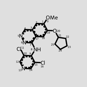 COc1cc2cnnc(Nc3c(Cl)cncc3Cl)c2cc1OC1CCCC1